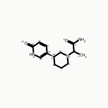 CC(C(N)=O)N1CCC[C@@H](c2ccc(=O)[nH]c2)C1